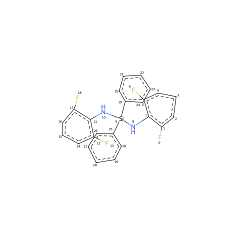 Fc1cccc(F)c1N[Si](Nc1c(F)cccc1F)(c1ccccc1)c1ccccc1